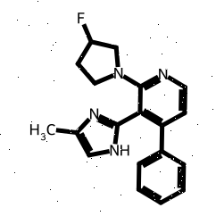 Cc1c[nH]c(-c2c(-c3ccccc3)ccnc2N2CCC(F)C2)n1